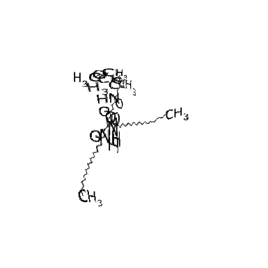 CCCCCCCCCCCCCCCCCC(=O)NCC(COC(=O)CCC(=O)NCCCC(C)(C)OCCC(C)(C)OC)NC(=O)CCCCCCCCCCCCCCCCC